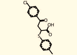 Cc1ccc(SC(CC(=O)c2ccc(Cl)cc2)C(=O)O)cc1